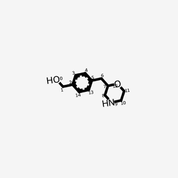 OCc1ccc(CC2CNCCO2)cc1